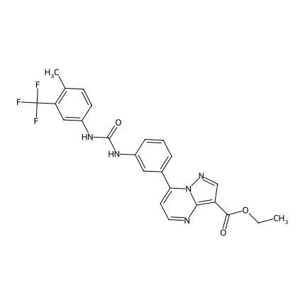 CCOC(=O)c1cnn2c(-c3cccc(NC(=O)Nc4ccc(C)c(C(F)(F)F)c4)c3)ccnc12